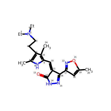 CCN(CC)CCc1c(C)[nH]c(C=C2C(=O)NN=C2c2cc(C)on2)c1C